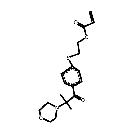 C=CC(=O)OCCSc1ccc(C(=O)C(C)(C)N2CCOCC2)cc1